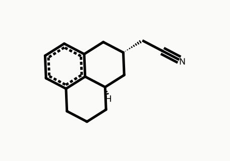 N#CC[C@H]1Cc2cccc3c2[C@H](CCC3)C1